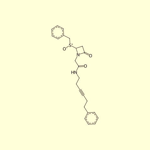 O=C(CN1C(=O)CC1[S+]([O-])Cc1ccccc1)NCCC#CCCc1ccccc1